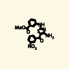 COC(=O)c1cccc(Nc2nc(N)c(C(=O)c3cccc([N+](=O)[O-])c3)s2)c1